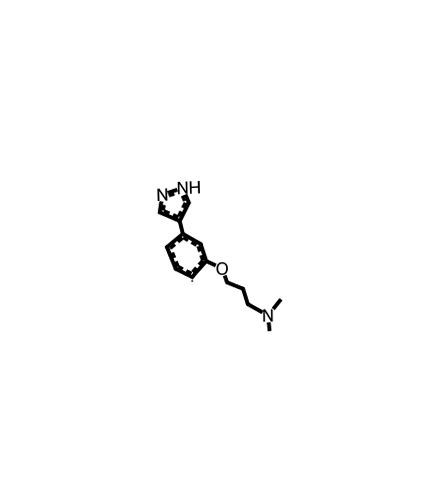 CN(C)CCCOc1[c]ccc(-c2cn[nH]c2)c1